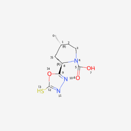 C[C@@H]1CCN(C(=O)O)[C@@H](c2nnc(S)o2)C1